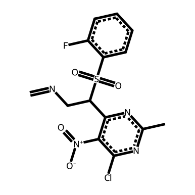 C=NCC(c1nc(C)nc(Cl)c1[N+](=O)[O-])S(=O)(=O)c1ccccc1F